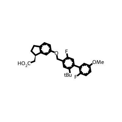 COc1ccc(F)c(-c2cc(F)c(COc3ccc4c(c3)[C@@H](CC(=O)O)CC4)cc2C(C)(C)C)c1